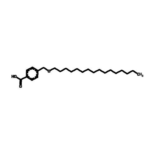 CCCCCCCCCCCCCCCCOCc1ccc(C(=O)O)cc1